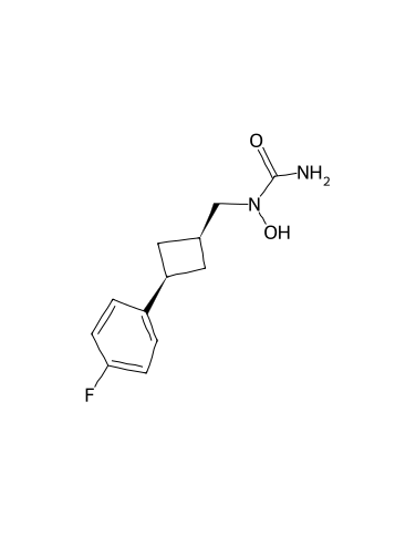 NC(=O)N(O)C[C@H]1C[C@@H](c2ccc(F)cc2)C1